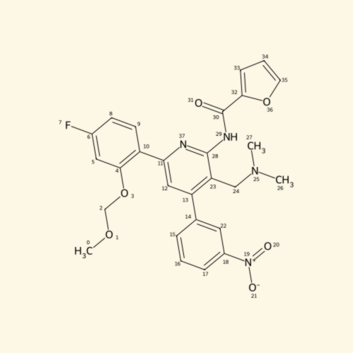 COCOc1cc(F)ccc1-c1cc(-c2cccc([N+](=O)[O-])c2)c(CN(C)C)c(NC(=O)c2ccco2)n1